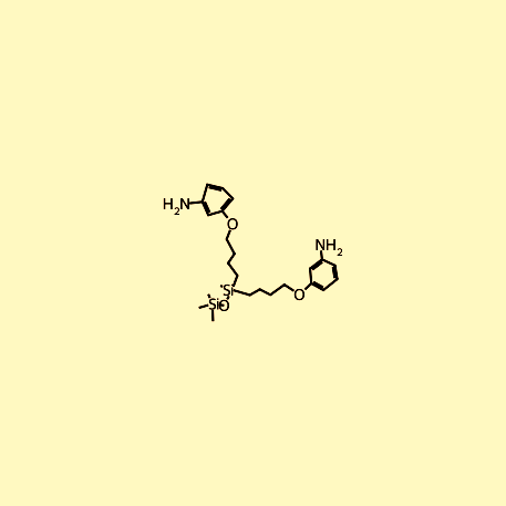 C[Si](C)(C)O[Si](C)(CCCCOc1cccc(N)c1)CCCCOc1cccc(N)c1